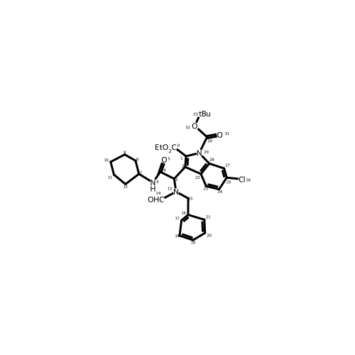 CCOC(=O)c1c(C(C(=O)NC2CCCCC2)N(C=O)Cc2ccccc2)c2ccc(Cl)cc2n1C(=O)OC(C)(C)C